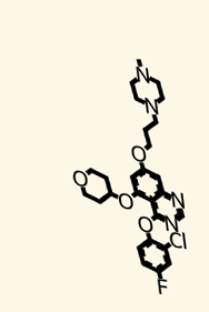 CN1CCN(CCCOc2cc(OC3CCOCC3)c3c(Oc4ccc(F)cc4Cl)ncnc3c2)CC1